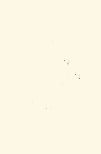 COCC(CC(=O)OC)c1ccc(N(CC(C)C)C2CCOCC2)c([N+](=O)[O-])c1